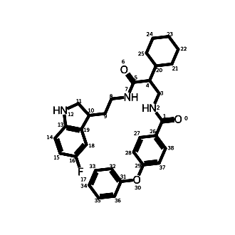 O=C(NCC(C(=O)NCCC1CNc2ccc(F)cc21)C1CCCCC1)c1ccc(Oc2ccccc2)cc1